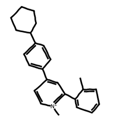 Cc1ccccc1-c1cc(-c2ccc(C3CCCCC3)cc2)cc[n+]1C